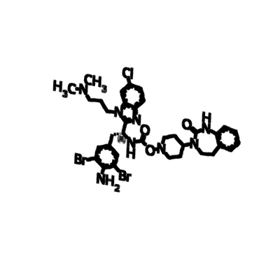 CN(C)CCCn1c([C@@H](Cc2cc(Br)c(N)c(Br)c2)NC(=O)ON2CCC(N3CCc4ccccc4NC3=O)CC2)nc2ccc(Cl)cc21